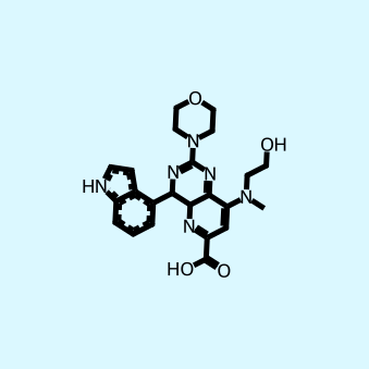 CN(CCO)C1=CC(C(=O)O)=NC2C1=NC(N1CCOCC1)=NC2c1cccc2[nH]ccc12